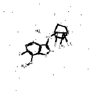 COc1c(Cl)ccc2c(N[C@@H]3C4CCN(CC4)C3(C)C)noc12.Cl